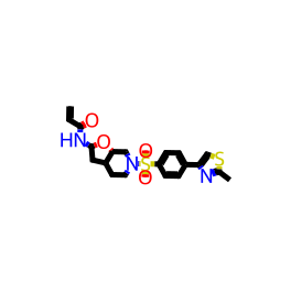 C=CC(=O)NC1CC2CCN(S(=O)(=O)c3ccc(-c4csc(C)n4)cc3)CC2O1